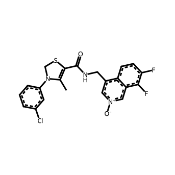 CC1=C(C(=O)NCc2c[n+]([O-])cc3c(F)c(F)ccc23)SCN1c1cccc(Cl)c1